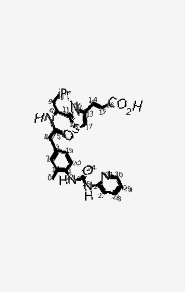 Cc1cc(CC(=O)NC(CC(C)C)c2nc(CCC(=O)O)cs2)ccc1NC(=O)Nc1ccccn1